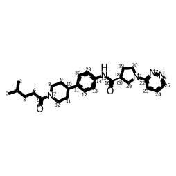 CC(C)CCC(=O)N1CCC(c2ccc(NC(=O)[C@H]3CCN(c4cccnn4)C3)cc2)CC1